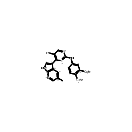 [C-]#[N+]c1cnc(Nc2ccc(OC)c(OC)c2)nc1-c1c[nH]c2ncc(C)cc12